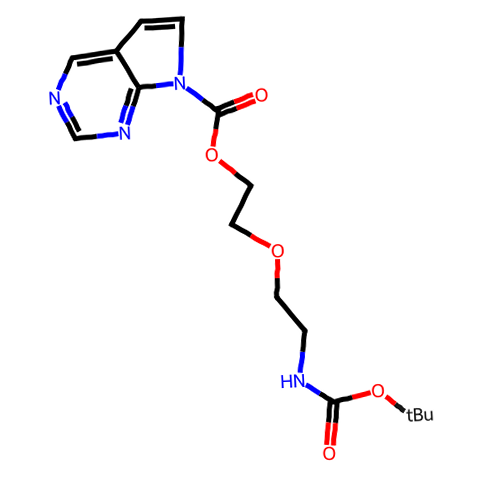 CC(C)(C)OC(=O)NCCOCCOC(=O)n1ccc2cncnc21